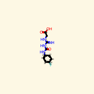 N=C(NCC(=O)O)NC(=O)Nc1ccc(F)cc1